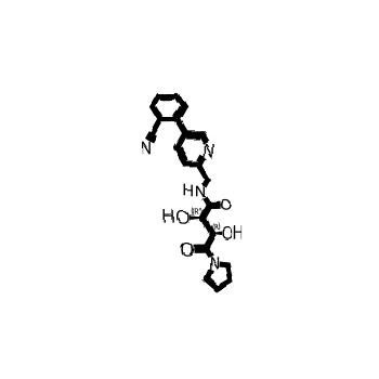 N#Cc1ccccc1-c1ccc(CNC(=O)[C@H](O)[C@@H](O)C(=O)N2CCCC2)nc1